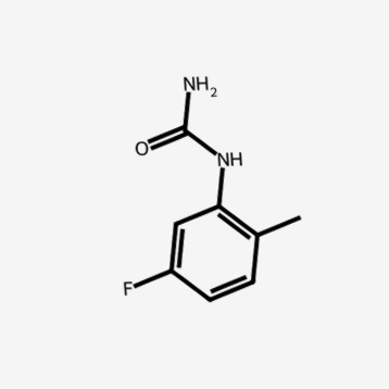 Cc1ccc(F)cc1NC(N)=O